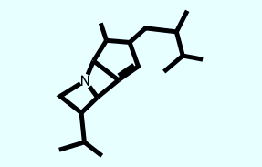 CC(C)C(C)CC1C=C2C(C1C)N1CC(C(C)C)C21